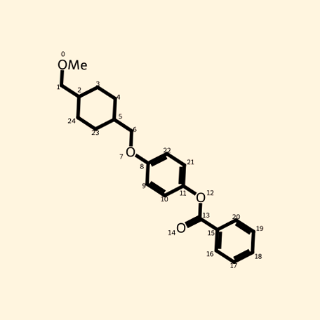 COCC1CCC(COc2ccc(OC(=O)c3ccccc3)cc2)CC1